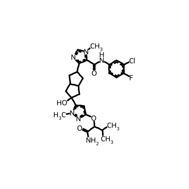 CC(C)C(Oc1cc(C2(O)CC3CC(c4ncn(C)c4C(=O)Nc4ccc(F)c(Cl)c4)CC3C2)n(C)n1)C(N)=O